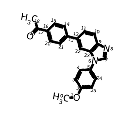 COc1ccc(-n2cnc3ccc(-c4ccc(C(C)=O)cc4)cc32)cc1